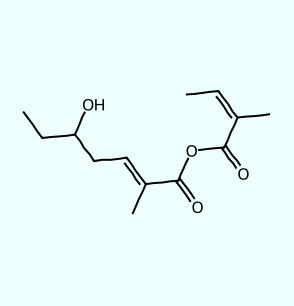 CC=C(C)C(=O)OC(=O)C(C)=CCC(O)CC